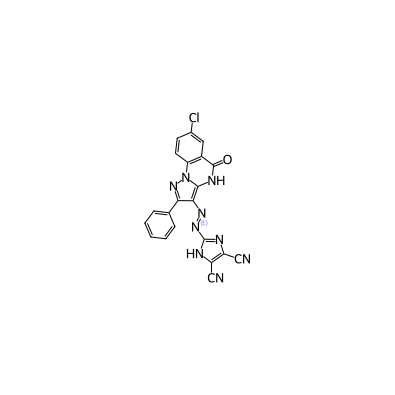 N#Cc1nc(/N=N/c2c(-c3ccccc3)nn3c2[nH]c(=O)c2cc(Cl)ccc23)[nH]c1C#N